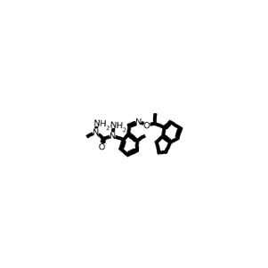 Cc1cccc(N(N)C(=O)N(C)N)c1/C=N\OC(C)c1cccc2c1CCC2